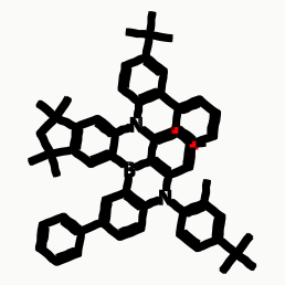 Cc1cc2c3c(c1)N(c1ccc(C(C)(C)C)cc1-c1ccccc1)c1cc4c(cc1B3c1cc(-c3ccccc3)ccc1N2c1ccc(C(C)(C)C)cc1C)C(C)(C)CC4(C)C